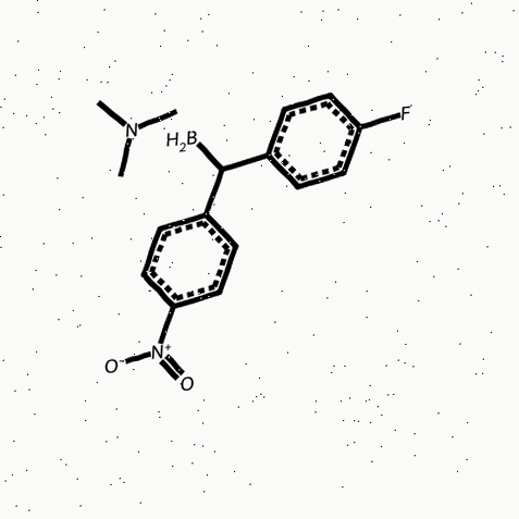 BC(c1ccc(F)cc1)c1ccc([N+](=O)[O-])cc1.CN(C)C